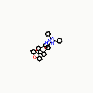 c1ccc(-c2nc(-c3ccccc3)nc(-c3ccc(-c4cccc5c4-c4c(-c6cccnc6)cccc4C54c5ccccc5Oc5ccccc54)cc3)n2)cc1